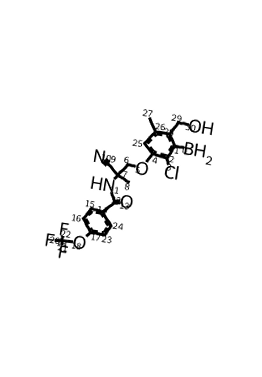 Bc1c(Cl)c(OCC(C)(C#N)NC(=O)c2ccc(OC(F)(F)F)cc2)cc(C)c1CO